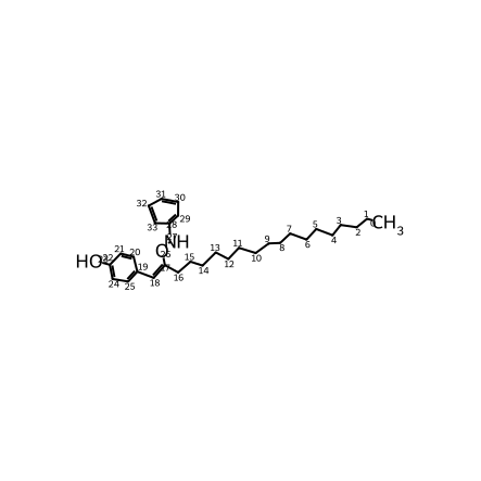 CCCCCCCCCCCCCCCCC/C(=C/c1ccc(O)cc1)ONc1ccccc1